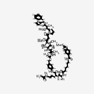 CC[C@H](C)[C@@H]([C@@H](CC(=O)N1CCC[C@H]1[C@H](OC)[C@@H](C)C(=O)N[C@@H](Cc1ccccc1)c1nccs1)OC)N(C)C(=O)[C@@H](NC(=O)C(C)(C)NC(=O)OCc1ccc(NC(=O)[C@H](CCCNC(N)=O)NC(=O)[C@@H](NC(=O)CCCCCNC(=O)c2ccc3nc(SC)sc3c2)C(C)C)cc1)C(C)C